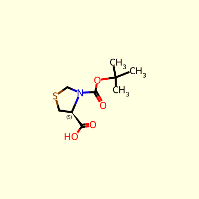 CC(C)(C)OC(=O)N1CSC[C@@H]1C(=O)O